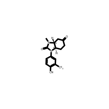 CN1C(=O)N(c2ccc(C#N)c(C(F)(F)F)c2)[C@@H]2CCC(=O)C[C@H]21